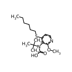 CCCCCCSc1ccnc(OC)c1N(C(=O)O)C(C)(C)C